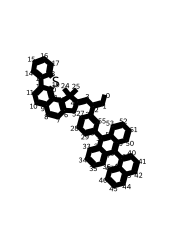 C/C=C(\C=C1/Cc2ccc3ccc4c5ccccc5sc4c3c2C1(C)C)c1cccc(-c2c3ccccc3c(-c3cccc4ccccc34)c3ccccc23)c1